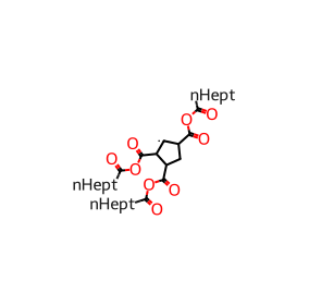 CCCCCCCC(=O)OC(=O)C1[CH]C(C(=O)OC(=O)CCCCCCC)C(C(=O)OC(=O)CCCCCCC)C1